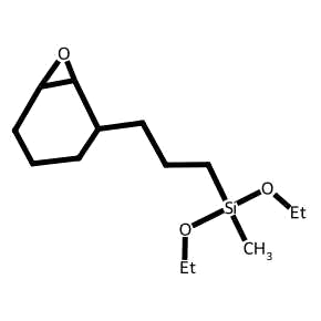 CCO[Si](C)(CCCC1CCCC2OC12)OCC